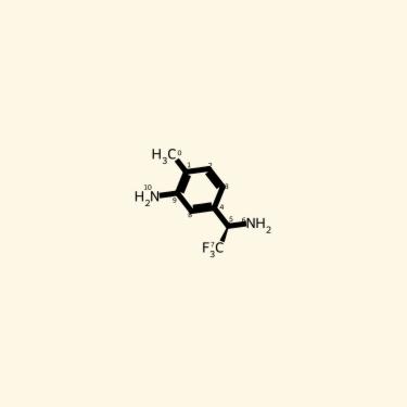 Cc1ccc([C@@H](N)C(F)(F)F)cc1N